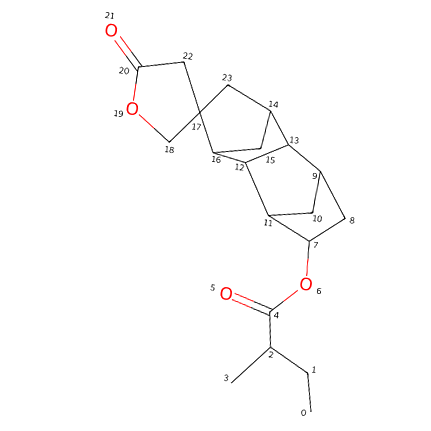 CCC(C)C(=O)OC1CC2CC1C1C2C2CC1C1(COC(=O)C1)C2